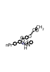 C=CC(=O)OCCCCOc1ccc(C(=O)Oc2ccc(-c3ccc(CCC)cc3)cc2/C=N/Nc2nc3ccccc3s2)cc1